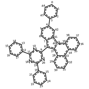 c1ccc(-c2ccc3c(-c4nc(-c5ccccc5)nc(-c5ccccc5)n4)c4c5ccccc5c5ccccc5n4c3c2)cc1